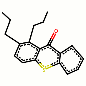 CCCc1ccc2sc3ccccc3c(=O)c2c1CCC